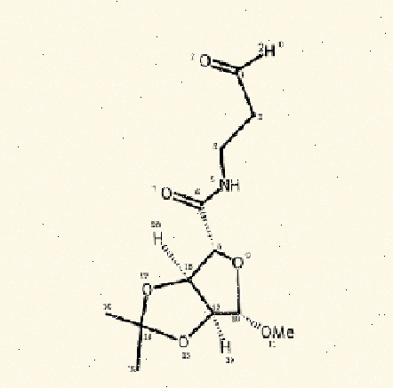 [2H]C(=O)CCNC(=O)[C@@H]1O[C@H](OC)[C@H]2OC(C)(C)O[C@H]21